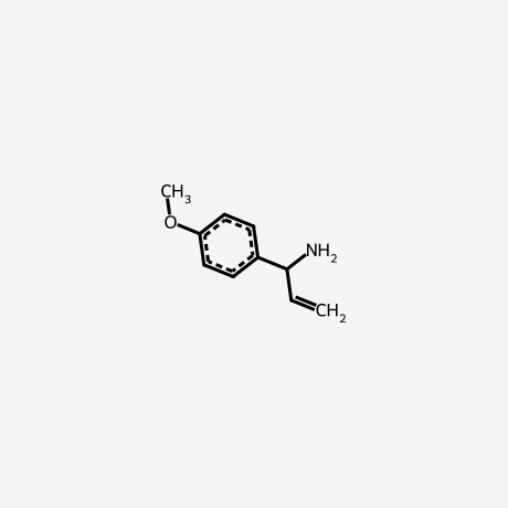 C=CC(N)c1ccc(OC)cc1